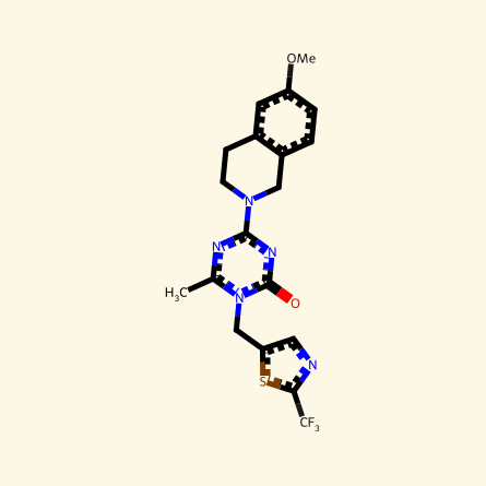 COc1ccc2c(c1)CCN(c1nc(C)n(Cc3cnc(C(F)(F)F)s3)c(=O)n1)C2